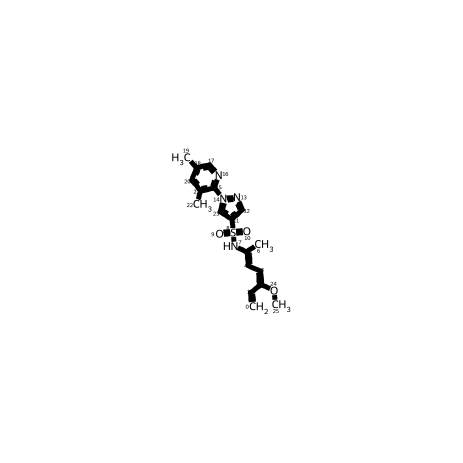 C=C/C(=C\C=C(/C)NS(=O)(=O)c1cnn(-c2ncc(C)cc2C)c1)OC